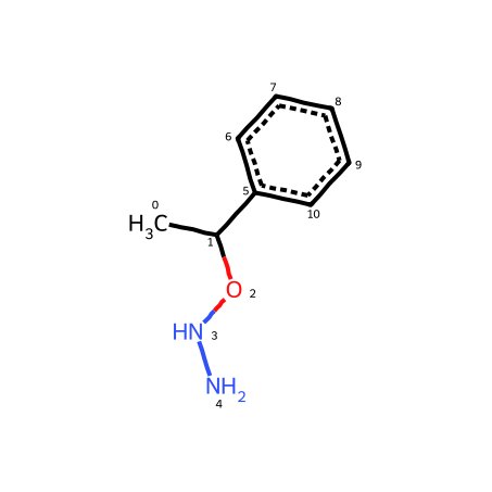 CC(ONN)c1ccccc1